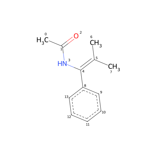 CC(=O)NC(=C(C)C)c1ccccc1